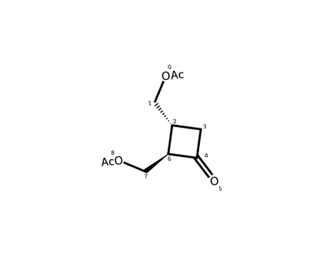 CC(=O)OC[C@@H]1CC(=O)[C@H]1COC(C)=O